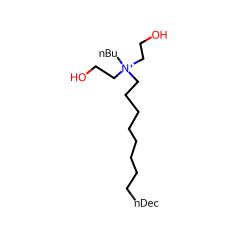 CCCCCCCCCCCCCCCCCC[N+](CCO)(CCO)CCCC